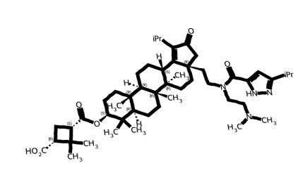 CC(C)C1=C2[C@H]3CC[C@@H]4[C@@]5(C)CC[C@H](OC(=O)[C@H]6C[C@@H](C(=O)O)C6(C)C)C(C)(C)[C@@H]5CC[C@@]4(C)[C@]3(C)CC[C@@]2(CCN(CCN(C)C)C(=O)c2cc(C(C)C)n[nH]2)CC1=O